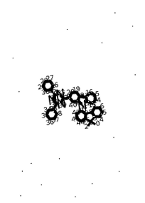 CC1(C)c2ccccc2-c2c(-n3c4ccccc4c4ccc(-c5nc(-c6ccccc6)nc(-c6ccccc6)n5)cc43)cccc21